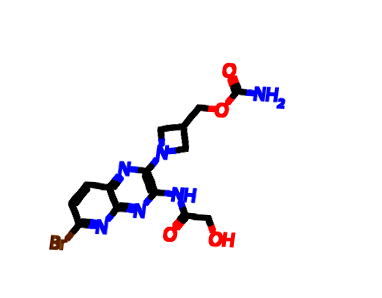 NC(=O)OCC1CN(c2nc3ccc(Br)nc3nc2NC(=O)CO)C1